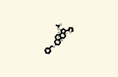 CC(=O)O[C@@H]1CC(c2ccco2)[C@@]2(C)CC[C@H]3[C@@H](CCC4C[C@@H](OCc5ccccc5)CC[C@@]43C)C12